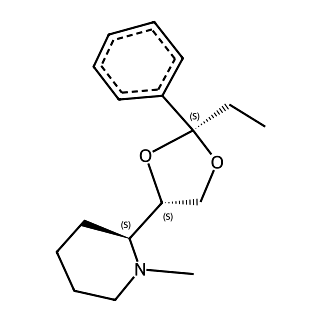 CC[C@]1(c2ccccc2)OC[C@H]([C@@H]2CCCCN2C)O1